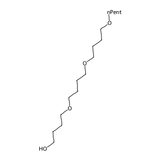 CCCCCOCCCCOCCCCOCCCCO